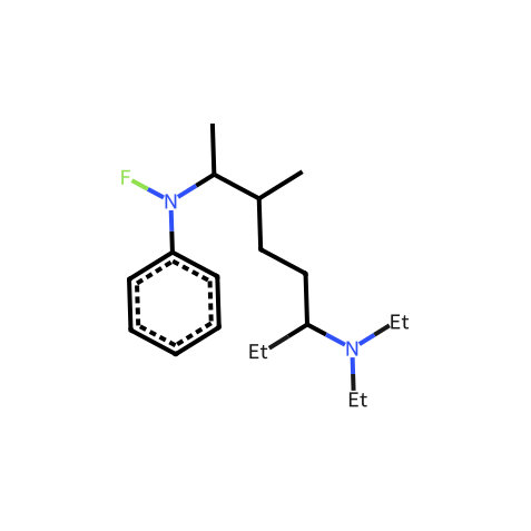 CCC(CCC(C)C(C)N(F)c1ccccc1)N(CC)CC